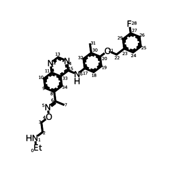 CCNCCO/N=C(\C)c1ccc2ncnc(Nc3ccc(OCc4cccc(F)c4)c(C)c3)c2c1